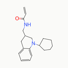 C=CC(=O)NCC1Cc2ccccc2N(C2CCCCC2)C1